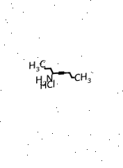 CCCC#CC(N)CCC.Cl